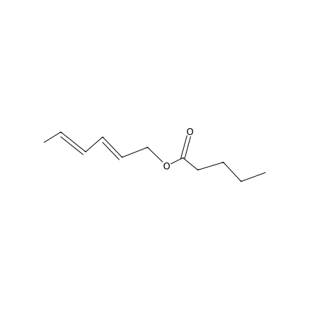 CC=CC=CCOC(=O)CCCC